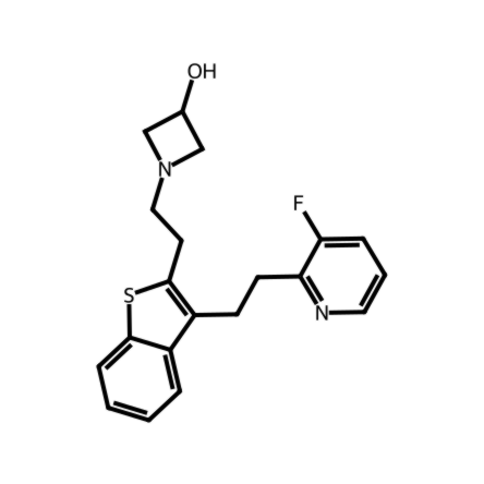 OC1CN(CCc2sc3ccccc3c2CCc2ncccc2F)C1